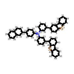 c1cc(-c2ccc3sc4ccccc4c3c2)cc(N(c2ccc(-c3ccc4ccccc4c3)cc2)c2cccc(-c3cccc4c3sc3ccccc34)c2)c1